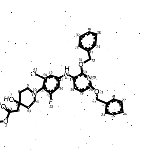 CCOC(=O)CC1(O)CCN(c2c(F)cc(Nc3ccc(OCc4ccccc4)nc3OCc3ccccc3)cc2Cl)CC1